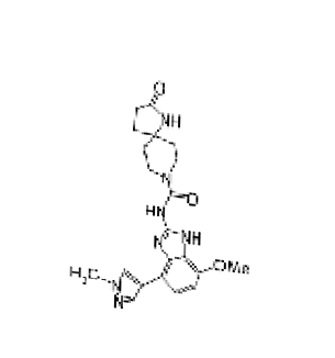 COc1ccc(-c2cnn(C)c2)c2nc(NC(=O)N3CCC4(CCC(=O)N4)CC3)[nH]c12